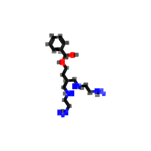 NCCNCC(CCOC(=O)c1ccccc1)CNCCN